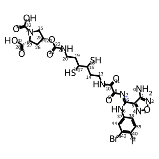 Nc1nonc1/C(=N/C(=O)C(=O)NCCC(S)C(S)CCNC(=O)O[C@@H]1C[C@H](C(=O)O)N(C(=O)O)C1)Nc1ccc(F)c(Br)c1